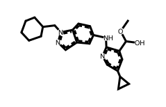 COC(O)c1cc(C2CC2)cnc1Nc1ccc2c(cnn2CC2CCCCC2)c1